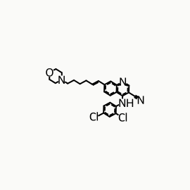 N#Cc1cnc2cc(/C=C/CCCCN3CCOCC3)ccc2c1Nc1ccc(Cl)cc1Cl